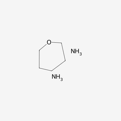 C1CCOCC1.N.N